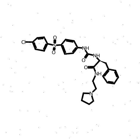 O=C(Nc1ccc(S(=O)(=O)c2ccc(Cl)cc2)cc1)N[C@@H](Cc1ccccc1)C(=O)NCCN1CCCC1